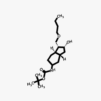 CCCCOC[C@H]1[C@@H]2CCC(NC(=O)OC(C)(C)C)C[C@H]2C[C@H]1O